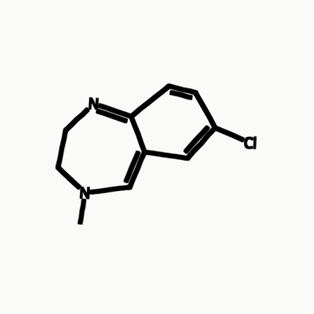 CN1C=c2cc(Cl)ccc2=NCC1